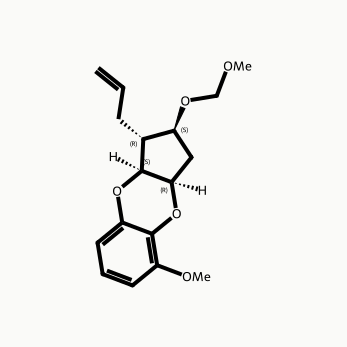 C=CC[C@H]1[C@@H]2Oc3cccc(OC)c3O[C@@H]2C[C@@H]1OCOC